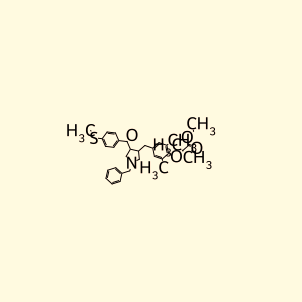 CCOC(=O)C(C)(C)Oc1c(C)cc(CC2CN(Cc3ccccc3)CC2C(=O)c2ccc(SC)cc2)cc1C